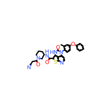 Cc1cc(Oc2ccccc2)ccc1N1C(=O)Nc2c(C(=O)N[C@H]3CCCN(C(=O)CC#N)C3)sc3nccc1c23